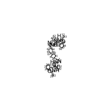 CC1(c2ccc(-c3cnc([C@@H]4CCCN4C(=O)[C@H](NC(=O)C4CC4)c4ccccc4)[nH]3)cc2)CC=C(c2cnc([C@@H]3CCCN3C(=O)[C@H](NC(=O)C3CC3)c3ccccc3)[nH]2)CC1